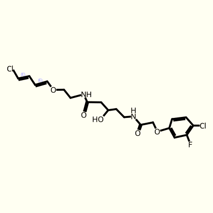 O=C(COc1ccc(Cl)c(F)c1)NCCC(O)CC(=O)NCCO/C=C/C=C/Cl